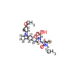 C=CCN1C(=O)/C(=c2\s/c(=C/c3ccc4c(c3)C3CCCC3N4c3ccc(OC)cc3)c(=O)n2CC(=O)O)SC1=S